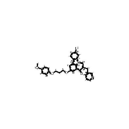 COc1ccc(OCCCOc2cc3c(=O)c(Cc4cccnc4)cn4c5cc(Cl)ccc5c(c2)c34)cc1